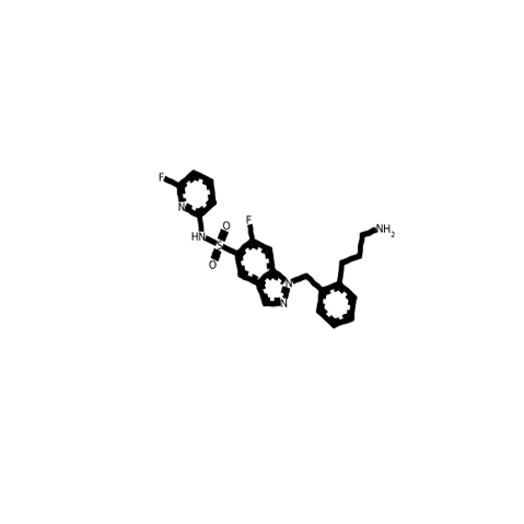 NCCCc1ccccc1Cn1ncc2cc(S(=O)(=O)Nc3cccc(F)n3)c(F)cc21